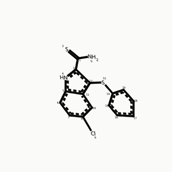 NC(=S)c1[nH]c2ccc(Cl)cc2c1Sc1ccccc1